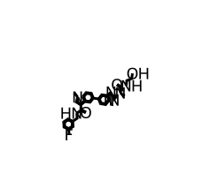 CN(C(=O)NCCO)c1nc2cc(-c3ccc4c(c3)c(C(=O)NCc3cccc(F)c3)cn4C)ccn2n1